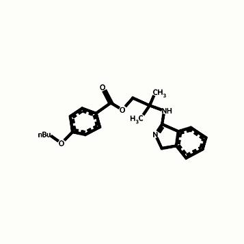 CCCCOc1ccc(C(=O)OCC(C)(C)NC2=NCc3ccccc32)cc1